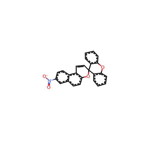 O=[N+]([O-])c1ccc2c3c(ccc2c1)OC1(C=C3)c2ccccc2Oc2ccccc21